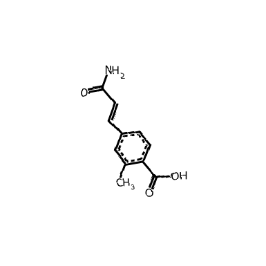 Cc1cc(C=CC(N)=O)ccc1C(=O)O